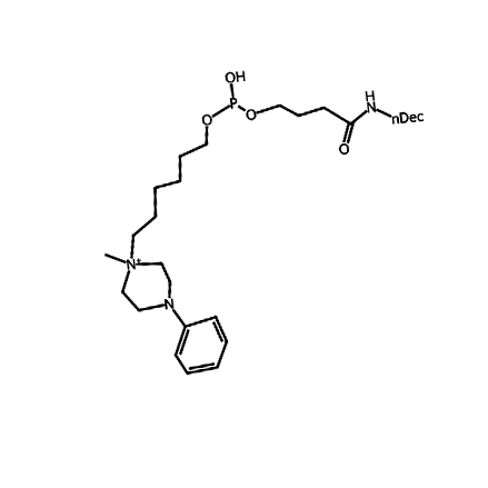 CCCCCCCCCCNC(=O)CCCOP(O)OCCCCCC[N+]1(C)CCN(c2ccccc2)CC1